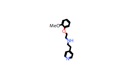 COc1ccccc1OCCNCCc1ccncc1